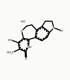 CCN1CCc2c1ccc1c2CCOc2c-1[nH]c(=O)c(C(=O)O)c2O.Cl